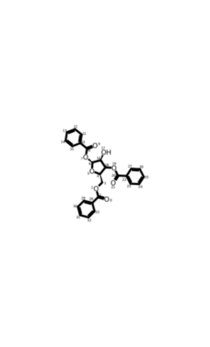 O=C(OC[C@H]1O[C@@H](OC(=O)c2ccccc2)[C@@H](O)C1OC(=O)c1ccccc1)c1ccccc1